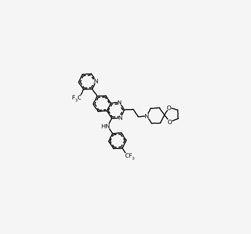 FC(F)(F)c1ccc(Nc2nc(CCN3CCC4(CC3)OCCO4)nc3cc(-c4ncccc4C(F)(F)F)ccc23)cc1